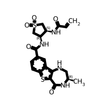 C=CC(=O)N[C@@H]1CS(=O)(=O)C[C@@H]1NC(=O)c1ccc2sc3c(c2c1)NC[C@@H](C)NC3=O